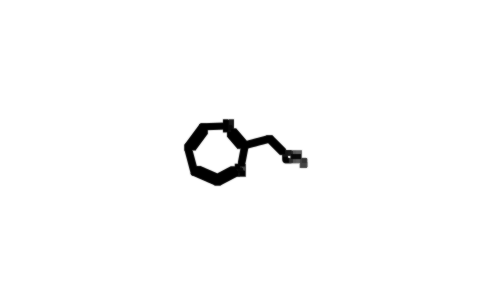 CCC1=NC=CC=C=N1